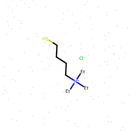 CC[N+](CC)(CC)CCCCS.[Cl-]